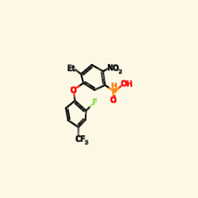 CCc1cc([N+](=O)[O-])c([PH](=O)O)cc1Oc1ccc(C(F)(F)F)cc1F